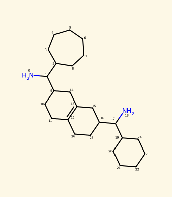 NC(C1CCCCCC1)C1CCC2=C(C1)CC(C(N)C1CCCCC1)CC2